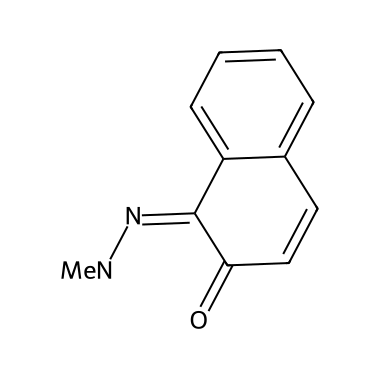 CN/N=C1\C(=O)C=Cc2ccccc21